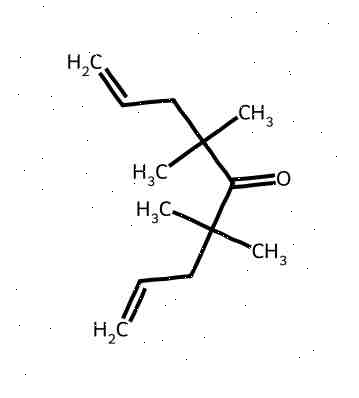 C=CCC(C)(C)C(=O)C(C)(C)CC=C